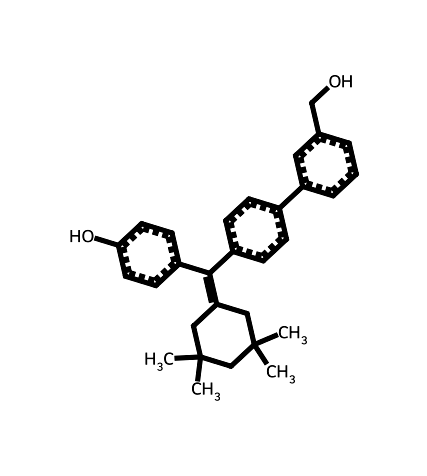 CC1(C)CC(=C(c2ccc(O)cc2)c2ccc(-c3cccc(CO)c3)cc2)CC(C)(C)C1